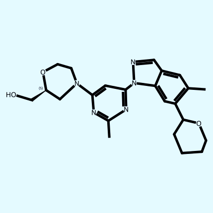 Cc1nc(N2CCO[C@H](CO)C2)cc(-n2ncc3cc(C)c(C4CCCCO4)cc32)n1